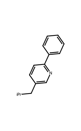 CC(C)Cc1ccc(-c2ccccc2)nc1